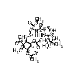 COC(=O)[C@@H](CSCc1c(OC(C)=O)cc(OC(C)=O)c(C)c1C(=O)O)NC(=O)[C@H](CO)NC(=O)OC(C)(C)C